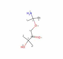 CCC(C)(N)OCC(=O)C(C)(C)O